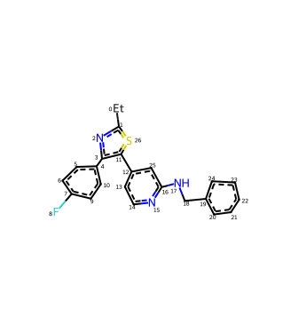 CCc1nc(-c2ccc(F)cc2)c(-c2ccnc(NCc3ccccc3)c2)s1